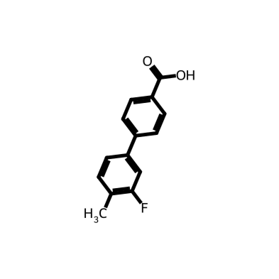 Cc1ccc(-c2ccc(C(=O)O)cc2)cc1F